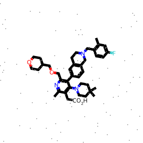 Cc1cc(F)ccc1CN1CCc2cc(-c3c(COCC4CCOCC4)nc(C)c(CC(=O)O)c3N3CCC(C)(C)CC3)ccc2C1